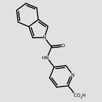 O=C(O)c1ccc(NC(=O)n2cc3ccccc3c2)cn1